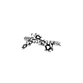 CC(=O)Nc1nc2c(Oc3cc(-c4ccc(C(F)(F)F)cc4NC(=O)[C@@H]4CC[C@H](c5ccccc5)N4C(=O)OC(C)(C)C)ncn3)cccc2s1